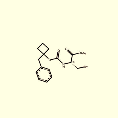 COC(=O)[C@H](CC(C)C)NC(=O)OC1(Cc2ccccc2)CCC1